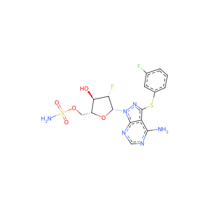 Nc1ncnc2c1c(Sc1cccc(F)c1)nn2[C@@H]1O[C@H](COS(N)(=O)=O)[C@@H](O)[C@@H]1F